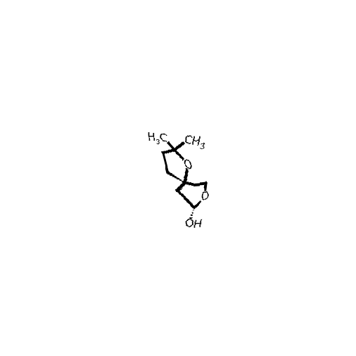 CC1(C)CC[C@]2(CO[C@H](O)C2)O1